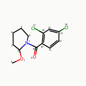 COC1CCCCN1C(=O)c1ccc(Cl)cc1Cl